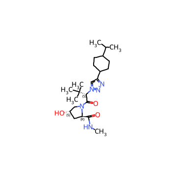 CNC(=O)[C@H]1C[C@H](O)CN1C(=O)[C@@H](n1cc(C2CCC(C(C)C)CC2)nn1)C(C)(C)C